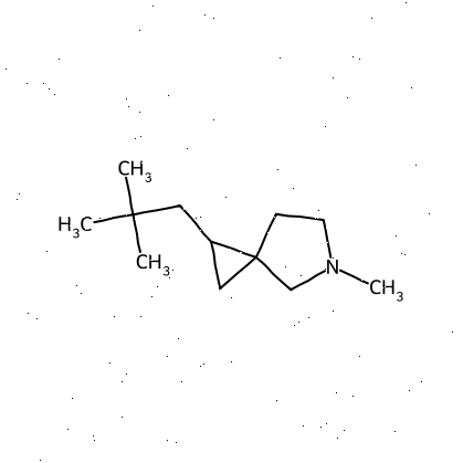 CN1CCC2(CC2CC(C)(C)C)C1